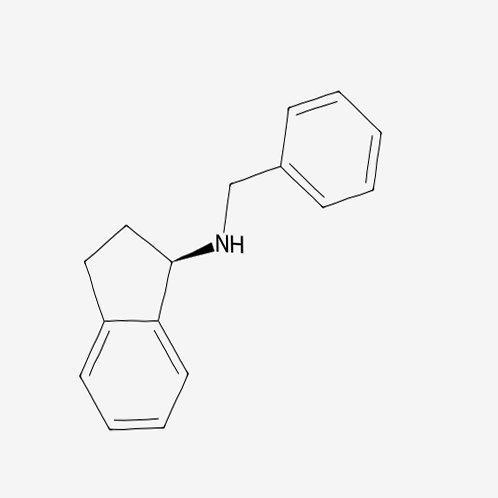 c1ccc(CN[C@@H]2CCc3ccccc32)cc1